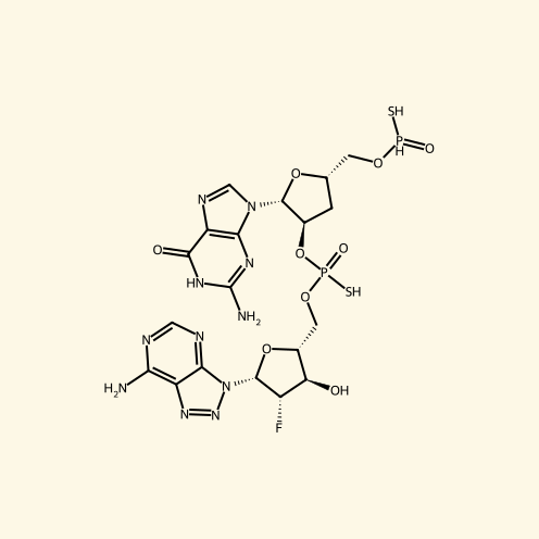 Nc1nc2c(ncn2[C@@H]2O[C@H](CO[PH](=O)S)C[C@H]2OP(=O)(S)OC[C@H]2O[C@@H](n3nnc4c(N)ncnc43)[C@@H](F)[C@@H]2O)c(=O)[nH]1